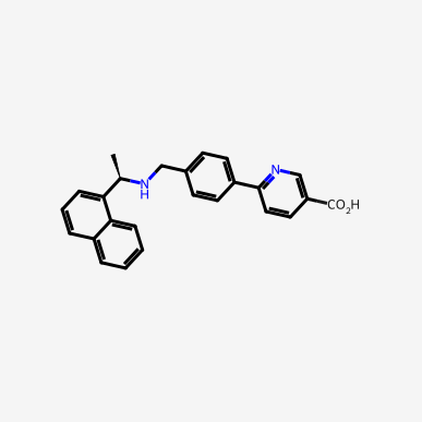 C[C@@H](NCc1ccc(-c2ccc(C(=O)O)cn2)cc1)c1cccc2ccccc12